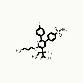 CCCCOc1nc(-c2ccc(F)cc2)c(-c2ccc(S(N)(=O)=O)cc2)cc1C(C)(CC)C(=O)O